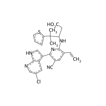 C=Cc1cc(C#N)c(-c2c[nH]c3ncc(Cl)cc23)nc1NC(CC(=O)O)C(C)(C)c1cccs1